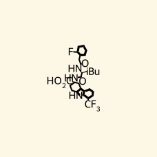 CCC(C)[C@H](NC(=O)Cc1ccccc1F)C(=O)N[C@@]1(C(=O)O)CCc2[nH]c3c(C(F)(F)F)cccc3c2C1